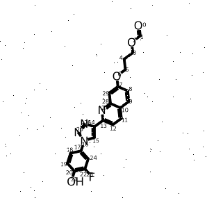 O=COCCCOc1ccc2ccc(-c3cn(-c4ccc(O)c(F)c4)nn3)nc2c1